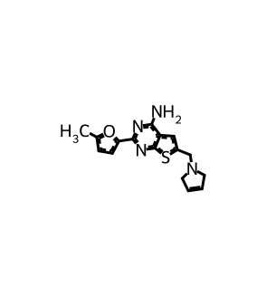 Cc1ccc(-c2nc(N)c3cc(CN4CC=CC4)sc3n2)o1